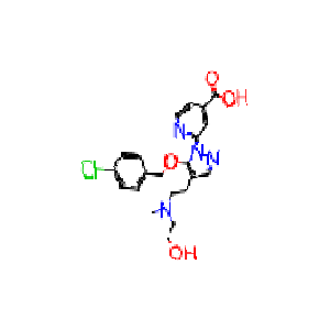 CN(CCO)CCc1cnn(-c2cc(C(=O)O)ccn2)c1OCc1ccc(Cl)cc1